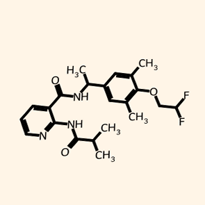 Cc1cc(C(C)NC(=O)c2cccnc2NC(=O)C(C)C)cc(C)c1OCC(F)F